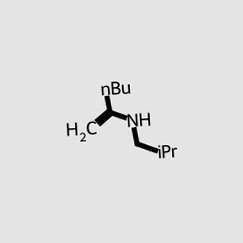 C=C(CCCC)NCC(C)C